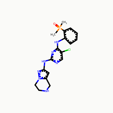 CP(C)(=O)c1c[c]ccc1Nc1nc(Nc2cc3n(n2)CCNC3)ncc1Cl